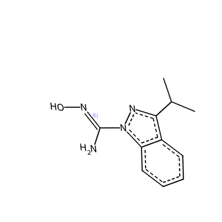 CC(C)c1nn(/C(N)=N/O)c2ccccc12